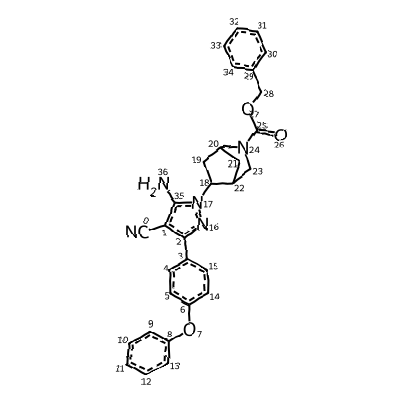 N#Cc1c(-c2ccc(Oc3ccccc3)cc2)nn(C2CC3CC2CN3C(=O)OCc2ccccc2)c1N